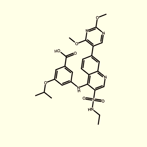 CCNS(=O)(=O)c1cnc2cc(-c3cnc(OC)nc3OC)ccc2c1Nc1cc(OC(C)C)cc(C(=O)O)c1